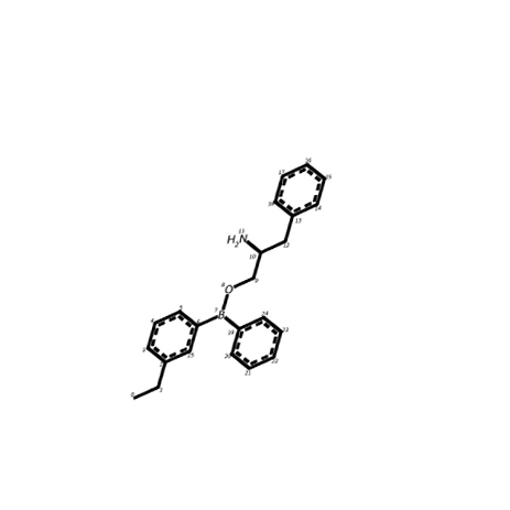 CCc1cccc(B(OCC(N)Cc2ccccc2)c2ccccc2)c1